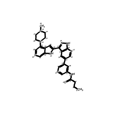 CCCC(=O)Nc1cncc(-c2cnc3[nH]nc(-c4cc5c(N6CCN(C)CC6)cncc5[nH]4)c3c2)c1